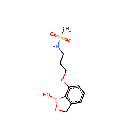 CS(=O)(=O)NCCCOc1cccc2c1B(O)OC2